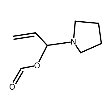 C=CC(OC=O)N1CCCC1